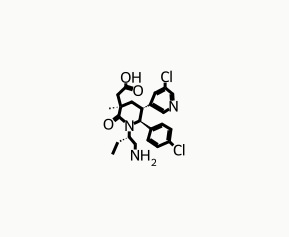 CC[C@@H](CN)N1C(=O)[C@@](C)(CC(=O)O)C[C@H](c2cncc(Cl)c2)[C@H]1c1ccc(Cl)cc1